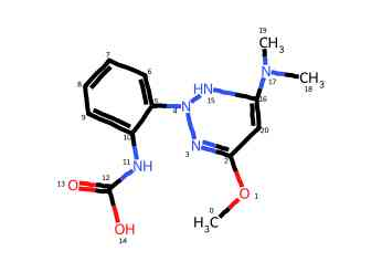 COC1=NN(c2ccccc2NC(=O)O)NC(N(C)C)=C1